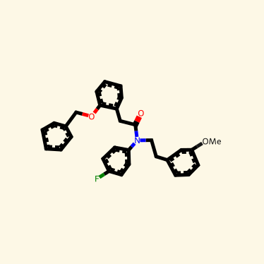 COc1cccc(CCN(C(=O)Cc2ccccc2OCc2ccccc2)c2ccc(F)cc2)c1